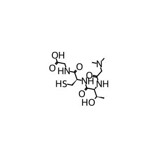 C[C@@H](O)[C@H](NC(=O)CN(C)C)C(=O)N[C@@H](CS)C(=O)NCC(=O)O